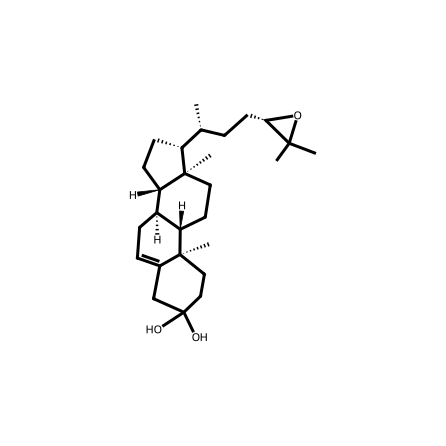 C[C@H](CC[C@@H]1OC1(C)C)[C@H]1CC[C@H]2[C@@H]3CC=C4CC(O)(O)CC[C@]4(C)[C@H]3CC[C@]12C